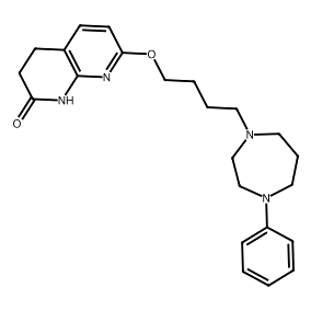 O=C1CCc2ccc(OCCCCN3CCCN(c4ccccc4)CC3)nc2N1